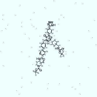 Cc1cc(C(=O)NC2CCN(C(=O)OC(C)(C)C)CC2F)ncc1-c1ccc(C[C@H](NC(=O)[C@H]2CC[C@H](CNC(=O)OC(C)(C)C)CC2)C(=O)Nc2ccc(-c3nnn[nH]3)cc2)cc1